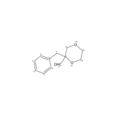 O=CC1(Cc2ccccc2)COCCO1